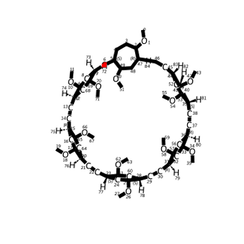 COC1CC[C@H]2C[C@@H]3CC(OC)[C@H](CC[C@@H]4CC(OC)[C@H](CC[C@H]5CC(OC)[C@@H](CC[C@@H]6CC(OC)[C@H](CC[C@H]7C[C@@H](OC)[C@@H](CC[C@@H]1CC2OC)CC7OC)CC6OC)CC5OC)CC4OC)CC3OC